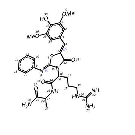 COc1cc(/C=C2\S/C(=N\c3ccccc3)N([C@@H](CCCNC(=N)N)C(=O)N[C@@H](C)C(N)=O)C2=O)cc(OC)c1O